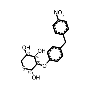 O=[N+]([O-])c1ccc(Cc2ccc(O[C@@H]3[C@@H](O)[C@H](O)CS[C@H]3O)cc2)cc1